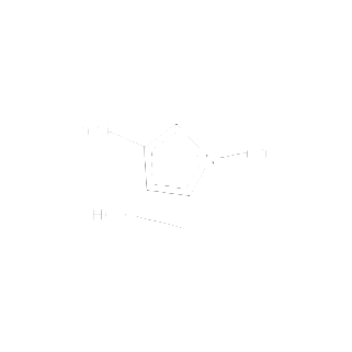 CC(=O)O.CCCCc1ccn(CCC)c1